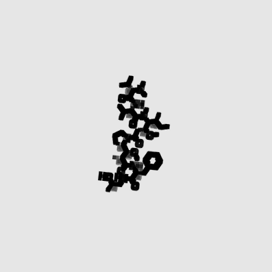 CC[C@H](C)[C@@H]([C@@H](CC(=O)N1CCC[C@H]1[C@H](OC)[C@@H](C)C(=O)N[C@@H](Cc1ccccc1)C(=O)NC[C@@H](C)O)OC)N(C)C(=O)[C@@H](NC(=O)[C@H](C(C)C)N(C)C)C(C)C